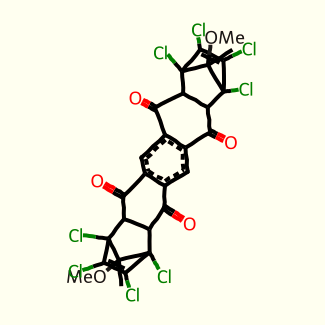 COC1(C)C2(Cl)C(Cl)=C(Cl)C1(Cl)C1C(=O)c3cc4c(cc3C(=O)C12)C(=O)C1C(C4=O)C2(Cl)C(Cl)=C(Cl)C1(Cl)C2(C)OC